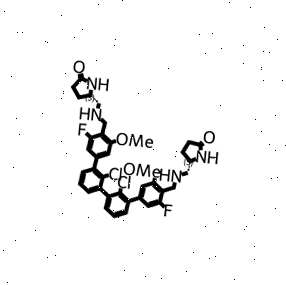 COc1cc(-c2cccc(-c3cccc(-c4cc(F)c(CNC[C@@H]5CCC(=O)N5)c(OC)c4)c3Cl)c2Cl)cc(F)c1CNC[C@@H]1CCC(=O)N1